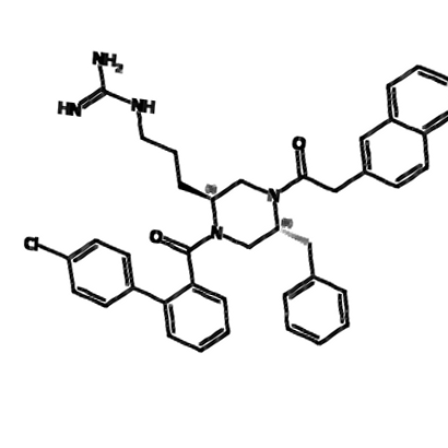 N=C(N)NCCC[C@H]1CN(C(=O)Cc2ccc3ccccc3c2)[C@H](Cc2ccccc2)CN1C(=O)c1ccccc1-c1ccc(Cl)cc1